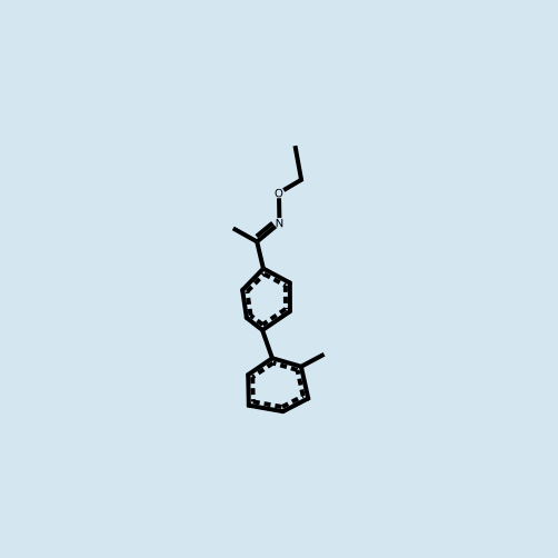 CCO/N=C(\C)c1ccc(-c2ccccc2C)cc1